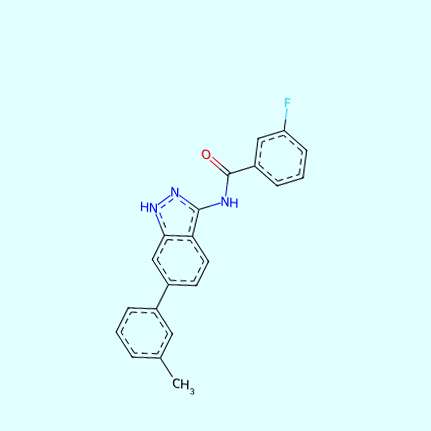 Cc1cccc(-c2ccc3c(NC(=O)c4cccc(F)c4)n[nH]c3c2)c1